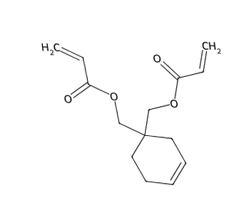 C=CC(=O)OCC1(COC(=O)C=C)CC=CCC1